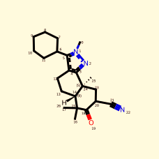 Cn1nc2c(c1C1CCCCC1)CC[C@H]1C(C)(C)C(=O)C(C#N)C[C@]21C